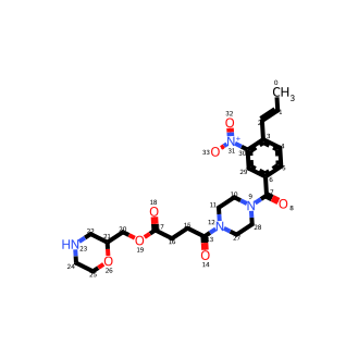 C/C=C/c1ccc(C(=O)N2CCN(C(=O)CCC(=O)OCC3CNCCO3)CC2)cc1[N+](=O)[O-]